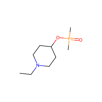 CCN1CCC(OP(C)(C)=O)CC1